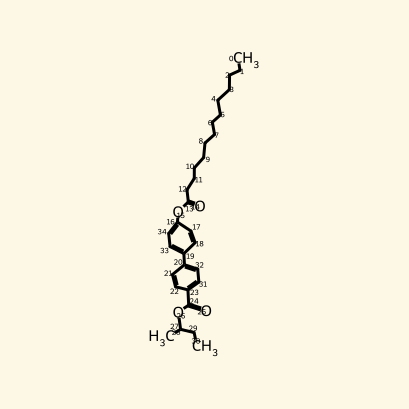 CCCCCCCCCCCCCC(=O)Oc1ccc(-c2ccc(C(=O)OC(C)CC)cc2)cc1